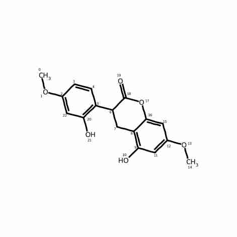 COc1ccc(C2Cc3c(O)cc(OC)cc3OC2=O)c(O)c1